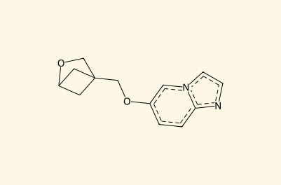 c1cn2cc(OCC34COC(C3)C4)ccc2n1